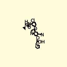 N#Cc1cc2c(Oc3ccc(Cl)c(NC(=O)NC4CC4)c3)ccnc2cc1OC[C@H](O)CN1CCCC1